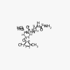 Cc1ccc(Cl)c(OC2CCN(C(=O)[C@@H]3CC([AsH]C(=O)CN)CN3)CC2)c1.Cl.Cl